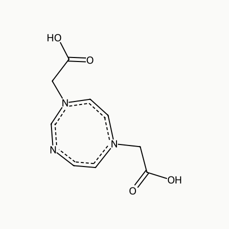 O=C(O)Cn1ccncn(CC(=O)O)cc1